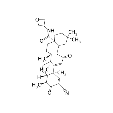 C[C@@H]1C(=O)C(C#N)=C[C@]2(C)C3=CC(=O)C4C5CC(C)(C)CC[C@]5(C(=O)NC5COC5)CC[C@@]4(C)[C@]3(C)CC[C@@H]12